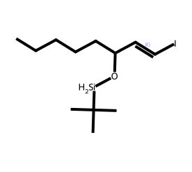 CCCCCC(/C=C/I)O[SiH2]C(C)(C)C